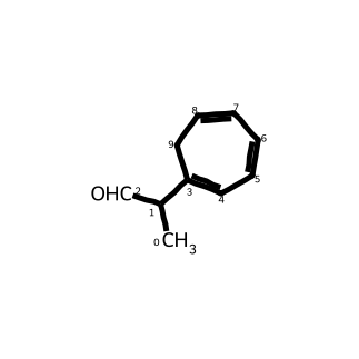 CC(C=O)C1=CC=CC=CC1